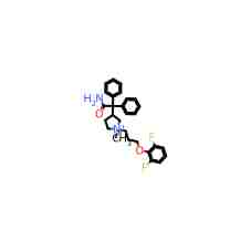 C[N@@+]1(CCCOc2c(F)cccc2F)CCC(C(C(N)=O)(c2ccccc2)c2ccccc2)C1